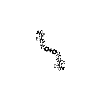 C=C(C)C(=O)OC(CC)OC(CC)OC(C)OC(C)Oc1ccc(C(C)(C)c2ccc(OC(C)OC(C)OC(CC)OC(CC)OC(=O)C(=C)C)cc2)cc1